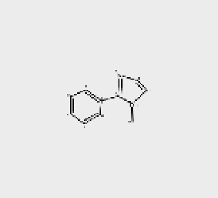 Cn1[c]cnc1-c1ccccc1